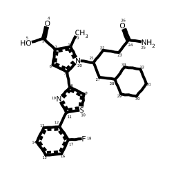 Cc1c(C(=O)O)cc(-c2csc(-c3ccccc3F)n2)n1C(CCC(N)=O)CC1CCCCC1